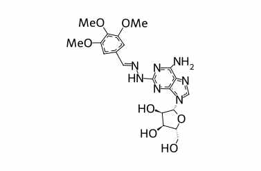 COc1cc(C=NNc2nc(N)c3ncn([C@@H]4O[C@H](CO)[C@@H](O)[C@H]4O)c3n2)cc(OC)c1OC